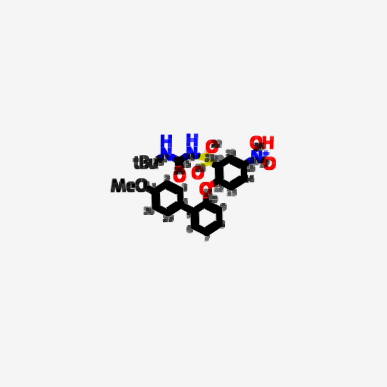 COc1ccc(-c2ccccc2Oc2ccc([N+](=O)O)cc2S(=O)(=O)NC(=O)NC(C)(C)C)cc1